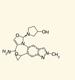 Cn1cc2cc(N3C(C(N)=O)=CO[C@H]3N3CCC(O)C3)c(C3CC3)cc2n1